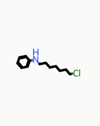 ClCCCCCCCNc1ccccc1